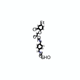 CCc1ccc(OCC(=O)O/N=C/c2ccc(/C=N/OC=O)cc2)c(Cl)c1